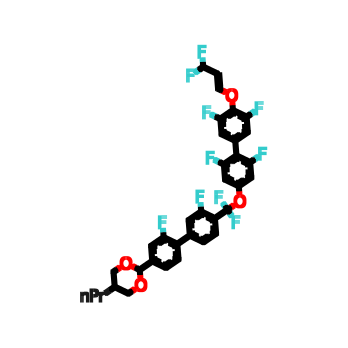 CCCC1COC(c2ccc(-c3ccc(C(F)(F)Oc4cc(F)c(-c5cc(F)c(O/C=C/C(F)F)c(F)c5)c(F)c4)c(F)c3)c(F)c2)OC1